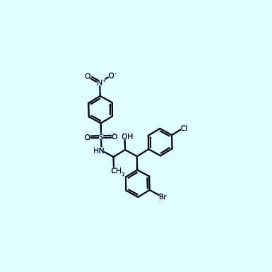 CC(NS(=O)(=O)c1ccc([N+](=O)[O-])cc1)C(O)C(c1ccc(Cl)cc1)c1cccc(Br)c1